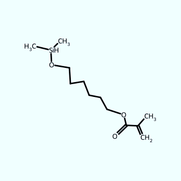 C=C(C)C(=O)OCCCCCCO[SiH](C)C